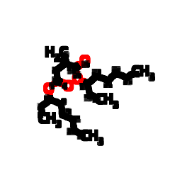 C=C(CC(=O)OC(CC)CCCCC)C(=O)OC(CC)CCCCC